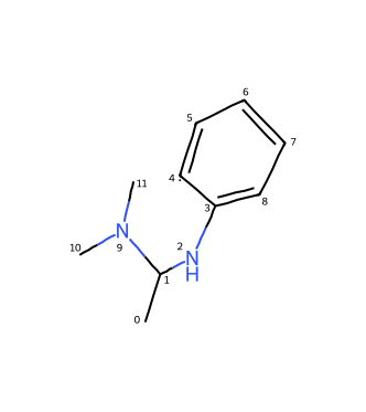 CC(Nc1[c]cccc1)N(C)C